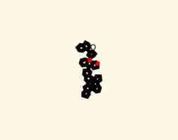 c1ccc2c(c1)-c1ccccc1C21c2cc3ccccc3cc2-c2cc3ccc(-c4c5ccccc5c(-c5ccc6oc7ccc8ccccc8c7c6c5)c5ccccc45)cc3cc21